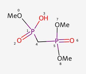 COP(=O)(O)CP(=O)(OC)OC